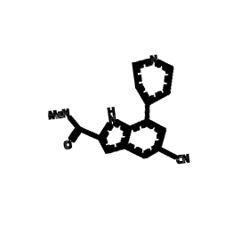 CNC(=O)c1cc2cc(C#N)cc(-c3ccncc3)c2[nH]1